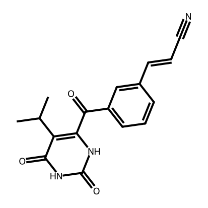 CC(C)c1c(C(=O)c2cccc(C=CC#N)c2)[nH]c(=O)[nH]c1=O